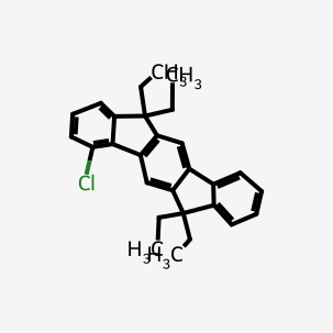 CCC1(CC)c2ccccc2-c2cc3c(cc21)-c1c(Cl)cccc1C3(CC)CC